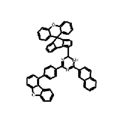 c1ccc2c(c1)Oc1ccccc1C21c2ccccc2-c2c(C3N=C(c4ccc(-c5cccc6oc7ccccc7c56)cc4)N=C(c4ccc5ccccc5c4)N3)cccc21